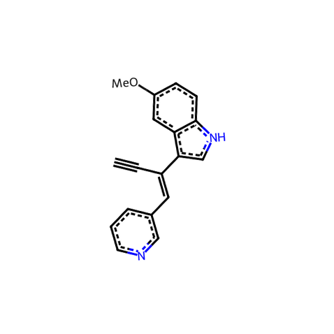 C#C/C(=C\c1cccnc1)c1c[nH]c2ccc(OC)cc12